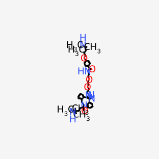 CNC(C)(C)CCCOc1ccc(C(=O)NCCOCCOCCn2nnc3c2-c2ccccc2CN(C(=O)CCC(C)(C)NC)c2ccccc2-3)cc1